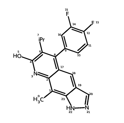 Cc1c2nc(O)c(C(C)C)c(-c3ccc(F)c(F)c3)c2cc2cn[nH]c12